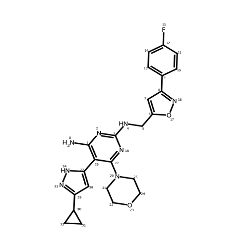 Nc1nc(NCc2cc(-c3ccc(F)cc3)no2)nc(N2CCOCC2)c1-c1cc(C2CC2)n[nH]1